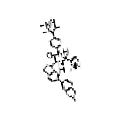 Cc1n[nH]c(C)c1-c1ccc(NC(=O)[C@@H](NC(=O)c2ccnn2C)[C@@H]2CCc3ccc(-c4ccc5c(c4)CN(C)C5)cc32)cc1